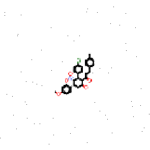 COc1ccc([C@H]2CC(=O)C(C(=O)/C=C/c3ccc(C)cc3)C(c3ccc(Cl)cc3)[C@H]2[N+](=O)[O-])cc1